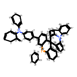 CC1CC=CC=C1N(c1ccccc1)c1ccc(-c2ccc3c(c2)[P@](c2ccccc2)c2ccccc2C32c3ccccc3-n3c4ccccc4c4cccc2c43)cc1